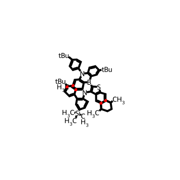 Cc1cc2c3c(c1)N(c1ccc([Si](C)(C)C)cc1-c1ccc(C(C)(C)C)cc1)c1c(sc4cc5c(cc14)C1(C)CCC5(C)CC1)B3c1cc(C(C)(C)C)ccc1N2c1ccc(C(C)(C)C)cc1